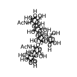 CC(=O)N[C@H]1[C@H](OC[C@H]2O[C@@H](O[C@H]3[C@H](O)[C@@H](O)[C@H](O)O[C@@H]3CO)[C@H](O)[C@@H](O[C@H]3O[C@H](CO)[C@H](O)[C@H](O[C@@H]4O[C@H](CO)[C@H](O)[C@H](O)[C@H]4NC(C)=O)[C@H]3O)[C@H]2O)O[C@H](CO)[C@@H](O[C@@H]2O[C@H](CO)[C@H](O)[C@H](O)[C@H]2O)[C@@H]1O